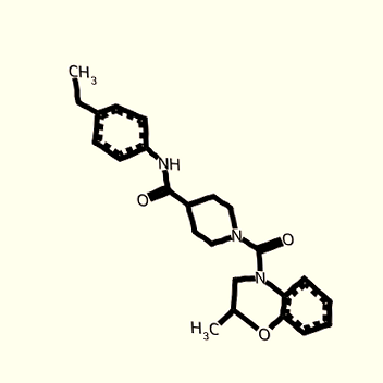 CCc1ccc(NC(=O)C2CCN(C(=O)N3CC(C)Oc4ccccc43)CC2)cc1